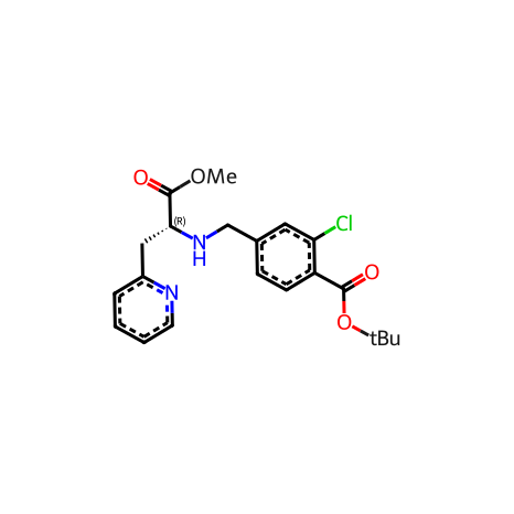 COC(=O)[C@@H](Cc1ccccn1)NCc1ccc(C(=O)OC(C)(C)C)c(Cl)c1